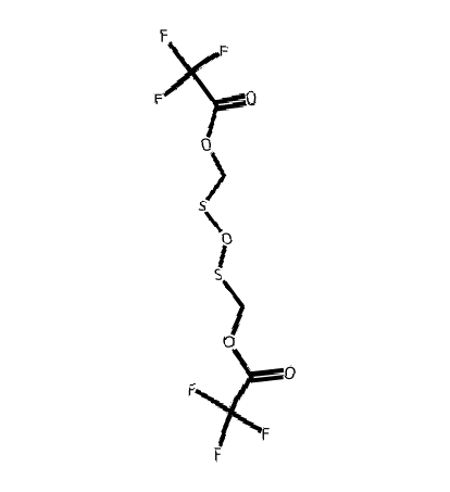 O=C(OCSOSCOC(=O)C(F)(F)F)C(F)(F)F